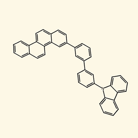 c1cc(-c2cccc(-n3c4ccccc4c4ccccc43)c2)cc(-c2ccc3ccc4c5ccccc5ccc4c3c2)c1